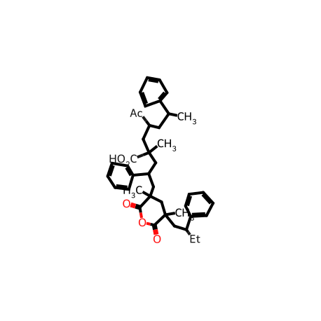 CCC(CC1(C)CC(C)(CC(CC(C)(CC(CC(C)c2ccccc2)C(C)=O)C(=O)O)c2ccccc2)C(=O)OC1=O)c1ccccc1